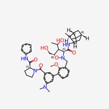 COc1c(CN2O[C@@H](CO)C(C(C)O)[C@H]2C(=O)N[C@H]2C[C@H]3C[C@@H]([C@@H]2C)C3(C)C)cccc1-c1cc(C(=O)N2CCC[C@H]2C(=O)Nc2ccccc2)cc(N(C)C)c1